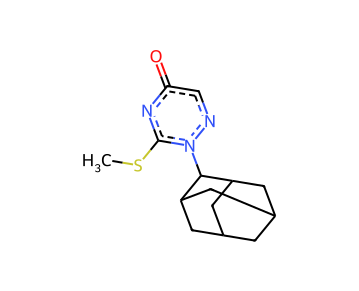 CSc1nc(=O)cnn1C1C2CC3CC(C2)CC1C3